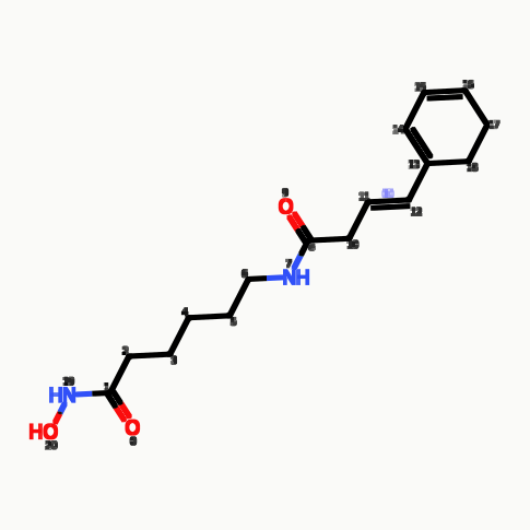 O=C(CCCCCNC(=O)C/C=C/C1=CC=CCC1)NO